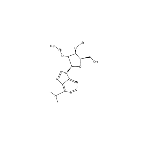 CCO[C@@H]1C(OPP)[C@H](n2cnc3c(N(C)C)ncnc32)O[C@@H]1CO